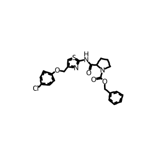 O=C(Nc1nc(COc2ccc(Cl)cc2)cs1)C1CCCN1C(=O)OCc1ccccc1